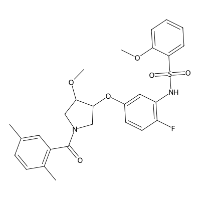 COc1ccccc1S(=O)(=O)Nc1cc(OC2CN(C(=O)c3cc(C)ccc3C)CC2OC)ccc1F